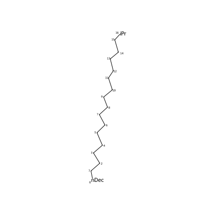 CCCCCCCCCCCCCCCCCCCCCCCCCC(C)C